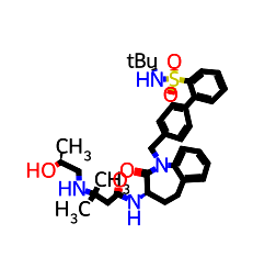 C[C@@H](O)CNC(C)(C)CC(=O)N[C@@H]1CCc2ccccc2N(Cc2ccc(-c3ccccc3S(=O)(=O)NC(C)(C)C)cc2)C1=O